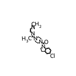 C=N/C=C\N=C(/C)N1CCN(C(=O)N2CCc3cc(Cl)ccc32)CC1